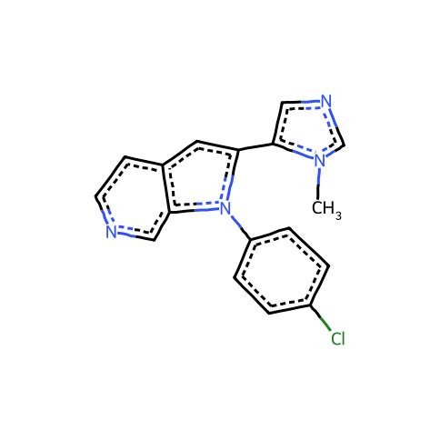 Cn1cncc1-c1cc2ccncc2n1-c1ccc(Cl)cc1